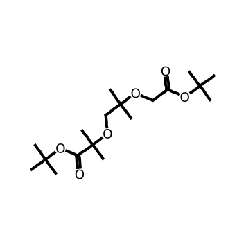 CC(C)(C)OC(=O)COC(C)(C)COC(C)(C)C(=O)OC(C)(C)C